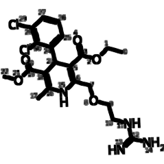 CCOC(=O)C1=C(COCCNC(=N)N)NC(C)=C(C(=O)OC)C1c1cccc(Cl)c1Cl